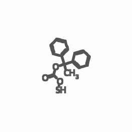 CC(OC(=O)OS)(c1ccccc1)c1ccccc1